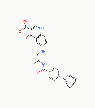 CC(CNc1ccc2[nH]cc(C(=O)O)c(=O)c2c1)NC(=O)c1ccc(-c2ccccc2)cc1